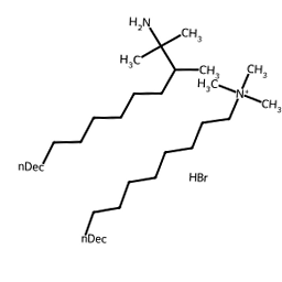 Br.CCCCCCCCCCCCCCCCC(C)C(C)(C)N.CCCCCCCCCCCCCCCCCC[N+](C)(C)C